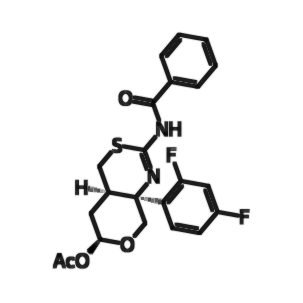 CC(=O)O[C@H]1C[C@H]2CSC(NC(=O)c3ccccc3)=N[C@@]2(c2ccc(F)cc2F)CO1